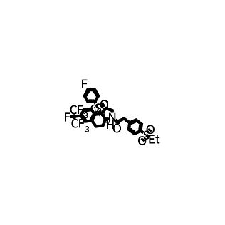 CCS(=O)(=O)c1ccc(CC(=O)N2CC[C@]3(S(=O)(=O)c4ccc(F)cc4)c4ccc(C(F)(C(F)(F)F)C(F)(F)F)cc4CC[C@H]23)cc1